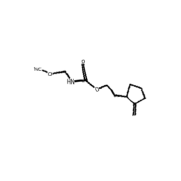 C=C1CCCC1CCOC(=O)NCOC#N